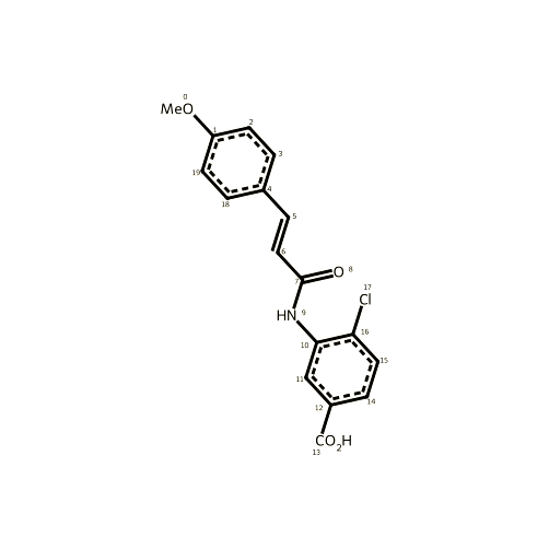 COc1ccc(C=CC(=O)Nc2cc(C(=O)O)ccc2Cl)cc1